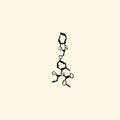 CCC(=O)N(C(=O)OC)c1ccc(OCc2nc3ccccc3o2)cc1C